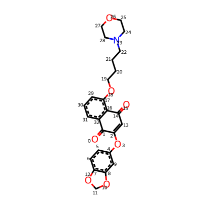 O=C1C(Oc2ccc3c(c2)OCO3)=CC(=O)c2c(OCCCCN3CCOCC3)cccc21